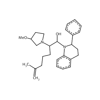 C=C(C)CCCC(C(O)N1c2ccccc2CCC1c1ccccc1)N1CCC(OC)C1